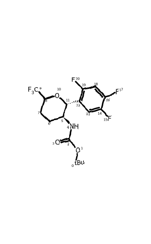 CC(C)(C)OC(=O)N[C@H]1CCC(C(F)(F)F)O[C@@H]1c1cc(F)c(F)cc1F